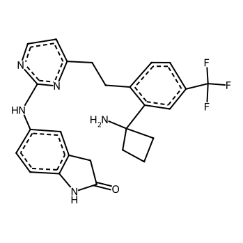 NC1(c2cc(C(F)(F)F)ccc2CCc2ccnc(Nc3ccc4c(c3)CC(=O)N4)n2)CCC1